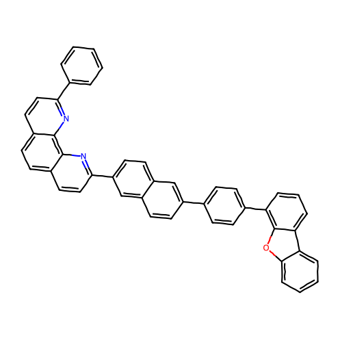 c1ccc(-c2ccc3ccc4ccc(-c5ccc6cc(-c7ccc(-c8cccc9c8oc8ccccc89)cc7)ccc6c5)nc4c3n2)cc1